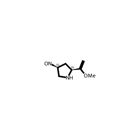 C=C(OC)[C@@H]1C[C@H](N=O)CN1